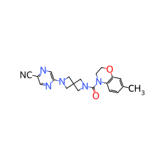 Cc1ccc2c(c1)OCCN2C(=O)N1CC2(C1)CN(c1cnc(C#N)cn1)C2